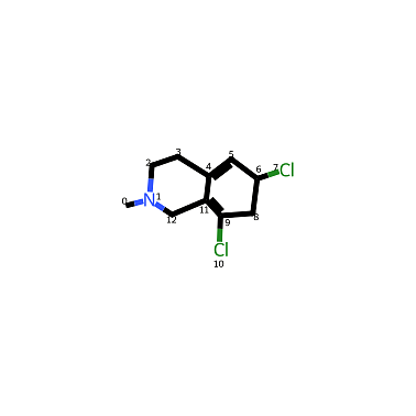 CN1CCC2=CC(Cl)CC(Cl)=C2C1